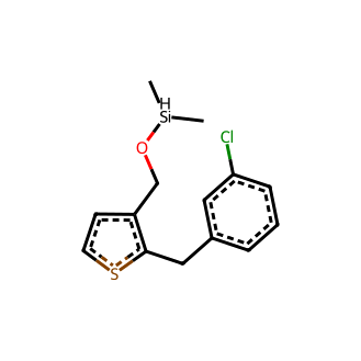 C[SiH](C)OCc1ccsc1Cc1cccc(Cl)c1